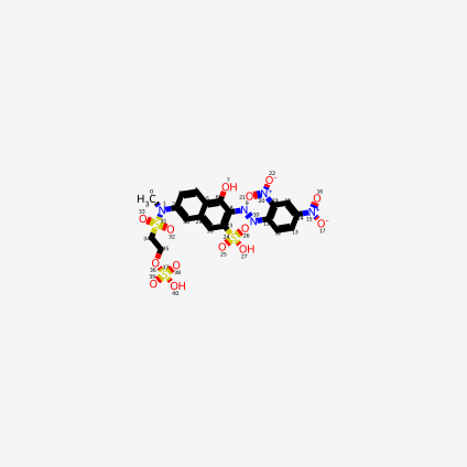 CN(c1ccc2c(O)c(N=Nc3ccc([N+](=O)[O-])cc3[N+](=O)[O-])c(S(=O)(=O)O)cc2c1)S(=O)(=O)CCOS(=O)(=O)O